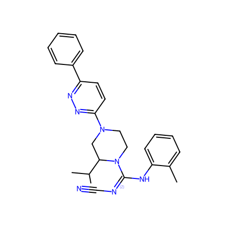 Cc1ccccc1N/C(=N/C#N)N1CCN(c2ccc(-c3ccccc3)nn2)CC1C(C)C